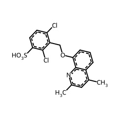 Cc1cc(C)c2cccc(OCc3c(Cl)ccc(S(=O)(=O)O)c3Cl)c2n1